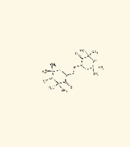 CC1(C)CN(CCN2CC(C)(C)N(N)C(C)(C)C2=O)C(=O)C(C)(C)N1